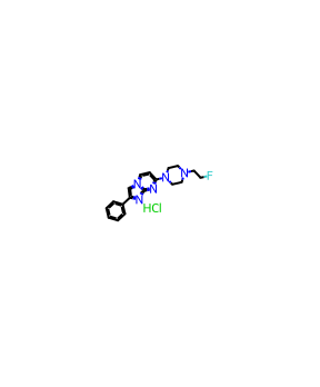 Cl.FCCN1CCN(c2ccn3cc(-c4ccccc4)nc3n2)CC1